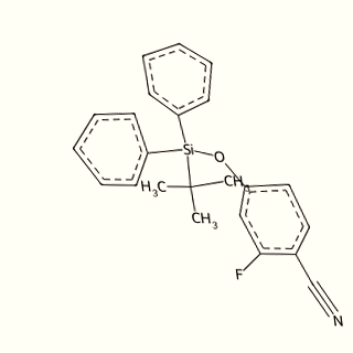 CC(C)(C)[Si](Oc1ccc(C#N)c(F)c1)(c1ccccc1)c1ccccc1